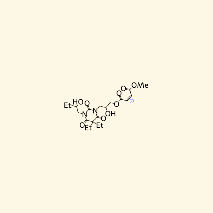 CCC(O)CN1C(=O)N(CC(O)COC(=O)/C=C\C(=O)OC)C(=O)C(CC)(CC)C1=O